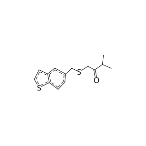 CC(C)C(=O)CSCc1ccc2sccc2c1